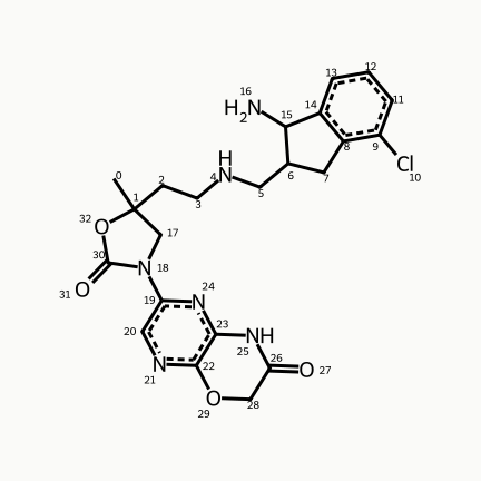 CC1(CCNCC2Cc3c(Cl)cccc3C2N)CN(c2cnc3c(n2)NC(=O)CO3)C(=O)O1